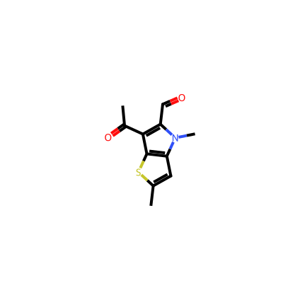 CC(=O)c1c(C=O)n(C)c2cc(C)sc12